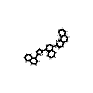 c1ccc2c(-c3ccc(-c4ccc(-c5ccc6ccc7cccnc7c6n5)c5ccccc45)o3)cccc2c1